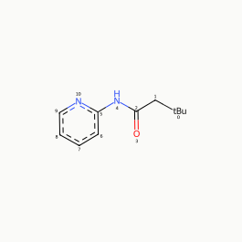 CC(C)(C)CC(=O)Nc1ccccn1